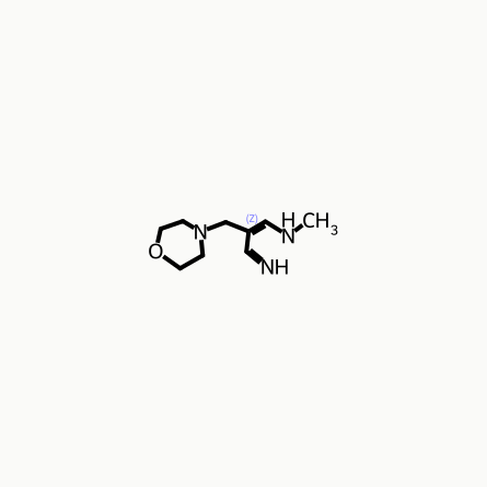 CN/C=C(\C=N)CN1CCOCC1